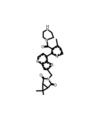 Cc1ccnc(-c2ccnc3cc(CN4C(=O)C5C(C4=O)C5(C)C)sc23)c1C(=O)N1CCNCC1